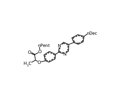 CCCCCCCCCCc1ccc(-c2cnc(-c3ccc(OC(C)C(=O)OCCCCC)cc3)nc2)cc1